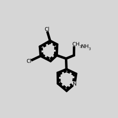 CCC(c1cccnc1)c1cc(Cl)cc(Cl)c1.N